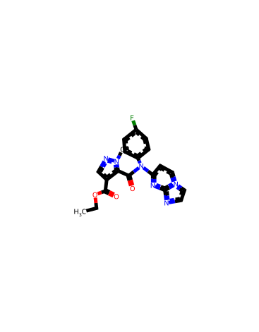 CCOC(=O)c1cnn(C)c1C(=O)N(c1ccc(F)cc1)c1ccn2ccnc2n1